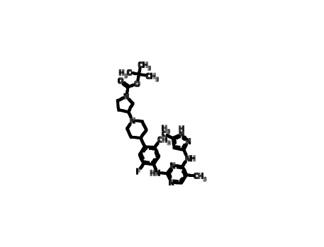 Cc1cc(Nc2nc(Nc3cc(C)c(C4CCN(C5CCN(C(=O)OC(C)(C)C)C5)CC4)cc3F)ncc2C)n[nH]1